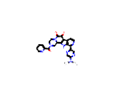 CN(C)c1cnc(-c2nccc3c4c([nH]c23)C2CN(C(=O)c3ccccn3)CCN2C(=O)C4=O)cn1